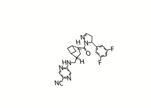 N#Cc1cnc(NC[C@@H]2C[C@H](C(=O)N3N=CCC3c3cc(F)cc(F)c3)C3CC2C3)cn1